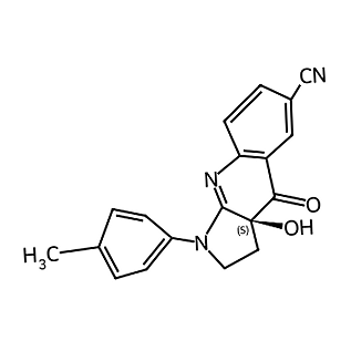 Cc1ccc(N2CC[C@@]3(O)C(=O)c4cc(C#N)ccc4N=C23)cc1